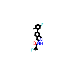 Cc1ccc(F)cc1-c1ccc2cc(NC(=O)C3C[C@H]3F)ncc2c1